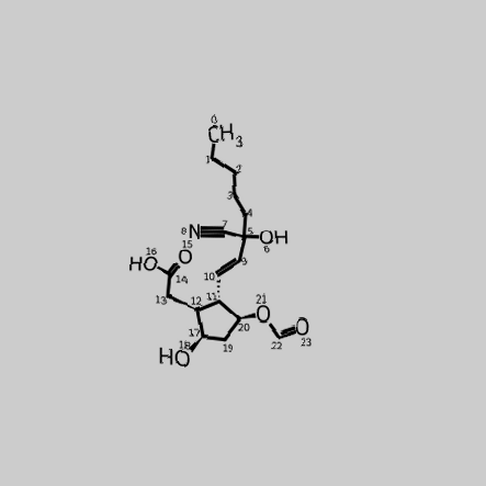 CCCCCC(O)(C#N)C=C[C@H]1[C@H](CC(=O)O)[C@H](O)C[C@@H]1OC=O